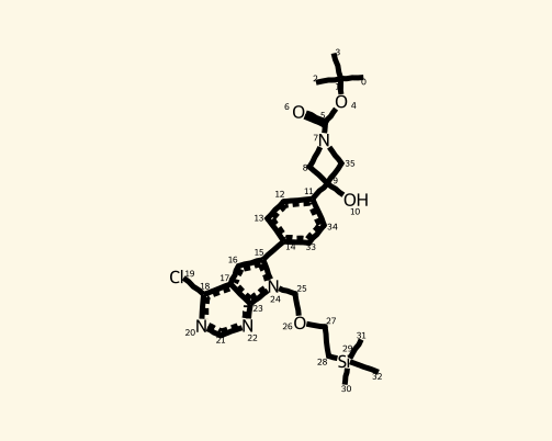 CC(C)(C)OC(=O)N1CC(O)(c2ccc(-c3cc4c(Cl)ncnc4n3COCC[Si](C)(C)C)cc2)C1